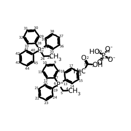 CC(=O)O.CC[P+](c1ccccc1)(c1ccccc1)c1ccccc1.CC[P+](c1ccccc1)(c1ccccc1)c1ccccc1.O=P([O-])([O-])O